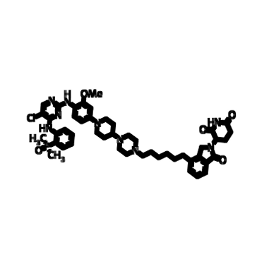 COc1cc(N2CCC(N3CCN(CCCCCCc4cccc5c4CN(C4CCC(=O)NC4=O)C5=O)CC3)CC2)ccc1Nc1ncc(Cl)c(Nc2ccccc2P(C)(C)=O)n1